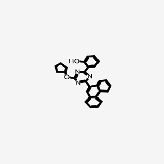 Oc1ccccc1-c1nc(OC2CCCC2)nc(-c2cc3ccccc3c3ccccc23)n1